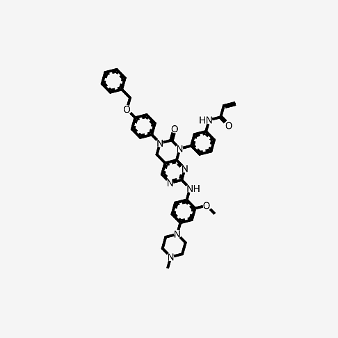 C=CC(=O)Nc1cccc(N2C(=O)N(c3ccc(OCc4ccccc4)cc3)Cc3cnc(Nc4ccc(N5CCN(C)CC5)cc4OC)nc32)c1